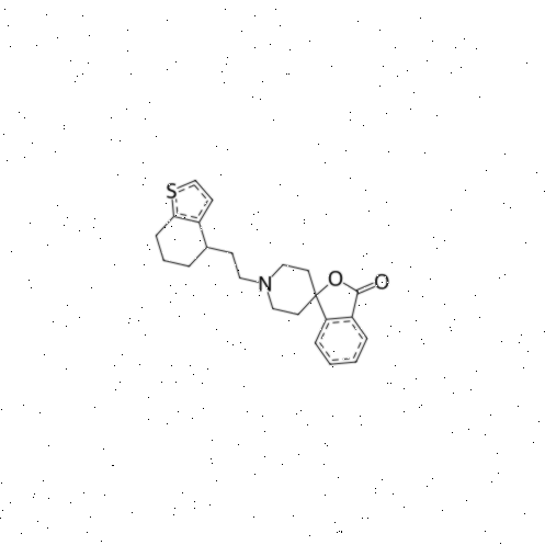 O=C1OC2(CCN(CCC3CCCc4sccc43)CC2)c2ccccc21